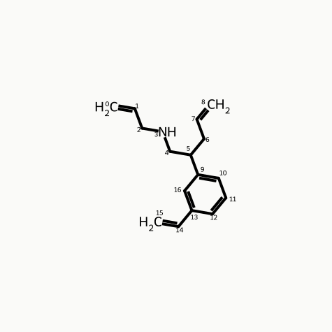 C=CCNCC(CC=C)c1cccc(C=C)c1